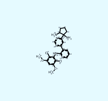 COc1cc(OC)c(Cl)c(Nc2ncccc2-c2cc(C3(N)CCCC3N)ncn2)c1Cl